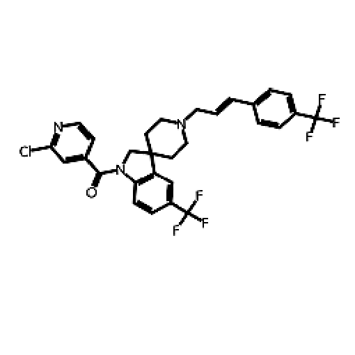 O=C(c1ccnc(Cl)c1)N1CC2(CCN(C/C=C/c3ccc(C(F)(F)F)cc3)CC2)c2cc(C(F)(F)F)ccc21